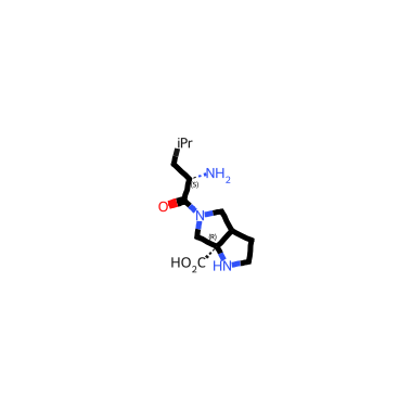 CC(C)C[C@H](N)C(=O)N1CC2CCN[C@@]2(C(=O)O)C1